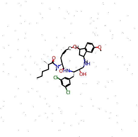 CCCC[C@H](C)C(=O)N(C)[C@H]1CC=CCO[C@@H]2C[C@H](NC[C@@H](O)[C@H](Cc3cc(Cl)cc(Cl)c3)NC1=O)c1cc(OC)ccc12